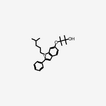 CC(C)CCCn1c(-c2ccccc2)cc2ccc(OC(C)(C)C(C)(C)O)cc21